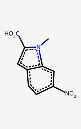 Cn1c(C(=O)O)cc2ccc([N+](=O)[O-])cc21